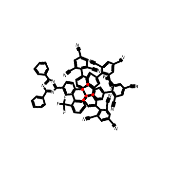 N#Cc1cc(C#N)c(-c2ccc3c(c2)c2cc(-c4c(C#N)cc(C#N)cc4C#N)ccc2n3-c2ccc(-c3nc(-c4ccccc4)nc(-c4ccccc4)n3)cc2-c2c(-n3c4ccc(-c5c(C#N)cc(C#N)cc5C#N)cc4c4cc(-c5c(C#N)cc(C#N)cc5C#N)ccc43)cccc2C(F)(F)F)c(C#N)c1